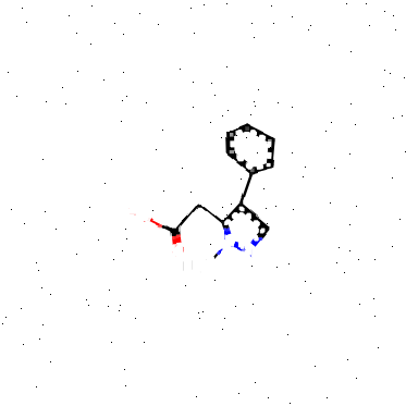 Cn1ncc(-c2ccccc2)c1CC(=O)O